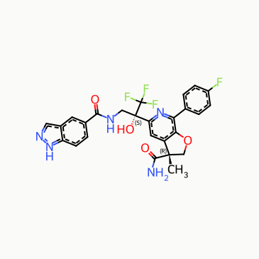 C[C@]1(C(N)=O)COc2c1cc([C@@](O)(CNC(=O)c1ccc3[nH]ncc3c1)C(F)(F)F)nc2-c1ccc(F)cc1